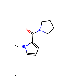 O=C(c1ccc[nH]1)N1[CH]CCC1